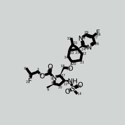 CC(F)COC(=O)N1[C@H](C)C[C@H](NS(C)(=O)=O)[C@@H]1CO[C@H]1CC[C@@]2(c3ncc(F)cn3)C(C)C2C1